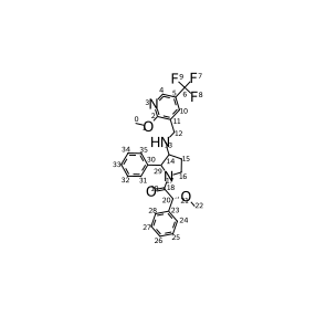 COc1ncc(C(F)(F)F)cc1CNC1CCN(C(=O)[C@H](OC)c2ccccc2)C1c1ccccc1